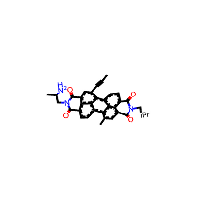 CC#Cc1cc2c3c(ccc4c5c(C)cc6c7c(ccc(c1c34)c75)C(=O)N(CC(C)C)C6=O)C(=O)N(CC(C)N)C2=O